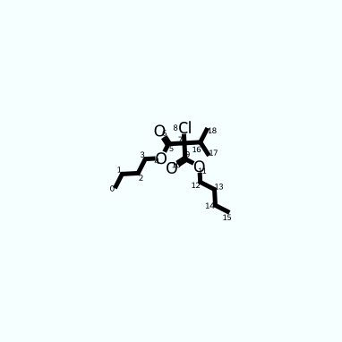 CCCCOC(=O)C(Cl)(C(=O)OCCCC)C(C)C